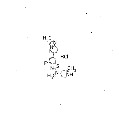 Cc1cn2nc(-c3cc(F)c4nc(N(C)C5CCN[C@@H](C)C5)sc4c3)ccc2n1.Cl